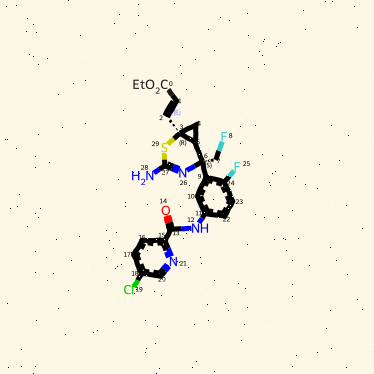 CCOC(=O)/C=C/[C@]12CC1[C@@](CF)(c1cc(NC(=O)c3ccc(Cl)cn3)ccc1F)N=C(N)S2